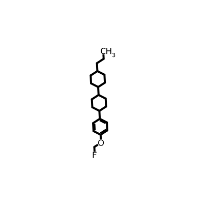 CCCC1CCC(C2CCC(c3ccc(OCF)cc3)CC2)CC1